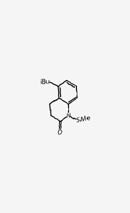 CCC(C)c1cccc2c1CCC(=O)N2SC